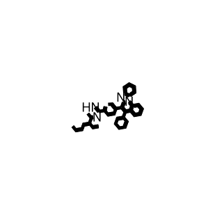 C=CC(=C\C=C/C)/C(C)=N/C(=N)C(=C)/C=C\C(=C/C)c1c(C2=CCCC=C2)c2ccccc2n2c1nc1ccccc12